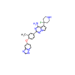 Cc1cc(-c2nc(N)c3c(C4(F)CCNCC4)ccn3n2)ccc1Oc1ccn2ncnc2c1